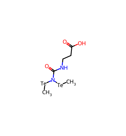 C[Te]N([Te]C)C(=O)NCCC(=O)O